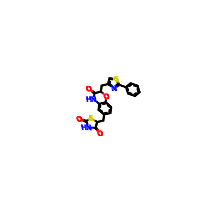 O=C1NC(=O)C(Cc2ccc3c(c2)NC(=O)C(Cc2csc(-c4ccccc4)n2)O3)S1